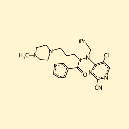 CC(C)CN(c1nc(C#N)ncc1Cl)N(CCCN1CCN(C)CC1)C(=O)c1ccccc1